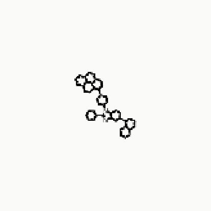 c1ccc(-c2nc3cc(-c4cccc5ccccc45)ccc3n2-c2ccc(-c3ccc4ccc5cccc6ccc3c4c56)cc2)cc1